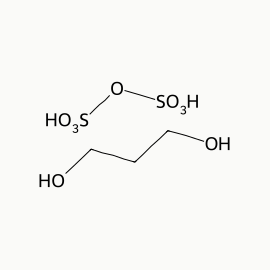 O=S(=O)(O)OS(=O)(=O)O.OCCCO